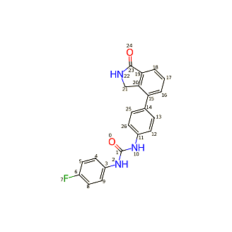 O=C(Nc1ccc(F)cc1)Nc1ccc(-c2cccc3c2CNC3=O)cc1